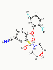 N#Cc1ccc(Oc2cc(F)ccc2F)c(S(=O)(=O)N2CCOCC2)c1